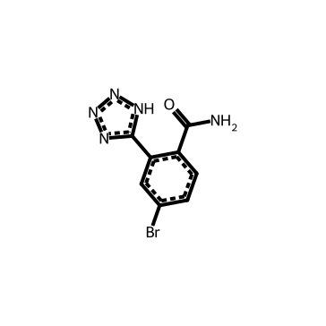 NC(=O)c1ccc(Br)cc1-c1nnn[nH]1